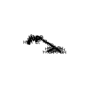 CCn1c(CN(C=O)c2nc3cc[nH]c3nc2N)[n+](CC)c2cc(C(=O)NCCOCCOCCOCCN(C[C@H](O)[C@@H](O)[C@H](O)[C@H](O)CO)C[C@H](O)[C@@H](O)[C@H](O)[C@H](O)CO)ccc21